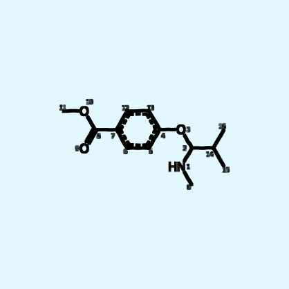 CNC(Oc1ccc(C(=O)OC)cc1)C(C)C